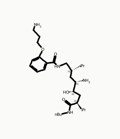 CCCCNC(=O)[C@@H](C[C@H](O)[C@@H](N)C[C@H](CNC(=O)c1ccccc1OCCCN)C(C)C)C(C)C